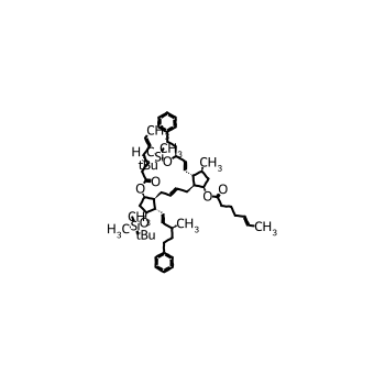 C/C=C/CCCC(=O)O[C@@H]1C[C@H](O[Si](C)(C)C(C)(C)C)[C@@H](/C=C/[C@@H](C)CCc2ccccc2)[C@@H]1C/C=C/C[C@H]1[C@H](/C=C/[C@H](CCc2ccccc2)O[Si](C)(C)C(C)(C)C)[C@@H](C)C[C@H]1OC(=O)CCC/C=C/C